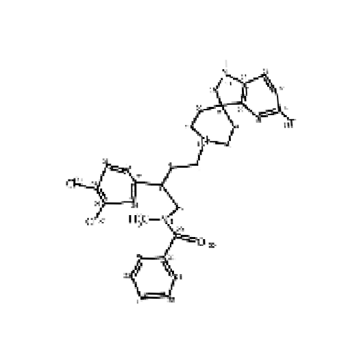 CN(CC(CCN1CCC2(CC1)CNc1ccc(F)cc12)c1ccc(Cl)c(Cl)c1)C(=O)c1ccccc1